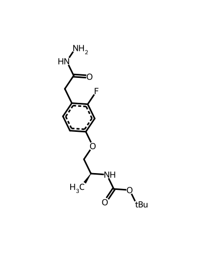 C[C@@H](COc1ccc(CC(=O)NN)c(F)c1)NC(=O)OC(C)(C)C